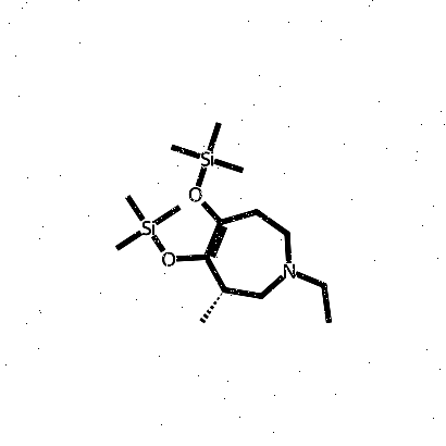 CCN1CCC(O[Si](C)(C)C)=C(O[Si](C)(C)C)[C@@H](C)C1